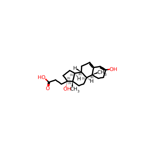 C[C@]12CCC(O)=CC1=CC[C@@H]1[C@@H]2CC[C@@]2(C)[C@H]1CC[C@]2(O)CCC(=O)O